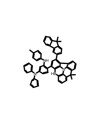 Cc1ccc(Nc2cc(N(c3ccccc3)c3ccccc3)ccc2-c2cc(-c3ccc4c(c3)-c3ccccc3C4(C)C)c3c4cccc5c4n4c3c2Bc2cccc(c2-4)C5(C)C)cc1